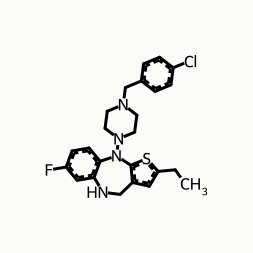 CCc1cc2c(s1)N(N1CCN(Cc3ccc(Cl)cc3)CC1)c1ccc(F)cc1NC2